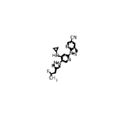 CC(F)Cc1cn(-c2cnc(-n3ncc4cc(C#N)cnc43)cc2NC2CC2)nn1